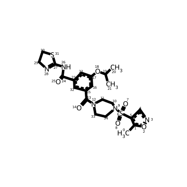 Cc1oncc1S(=O)(=O)N1CCN(C(=O)c2cc(OC(C)C)cc(C(=O)NC3=NCCS3)c2)CC1